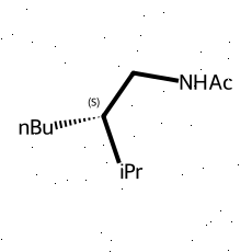 CCCC[C@H](CNC(C)=O)C(C)C